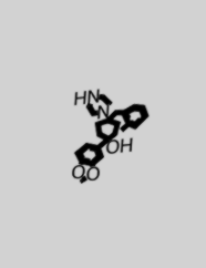 Cc1ccccc1CC1(N2CCNCC2)CCC(O)(c2ccc3c(c2)OCO3)CC1